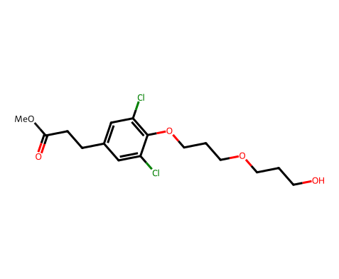 COC(=O)CCc1cc(Cl)c(OCCCOCCCO)c(Cl)c1